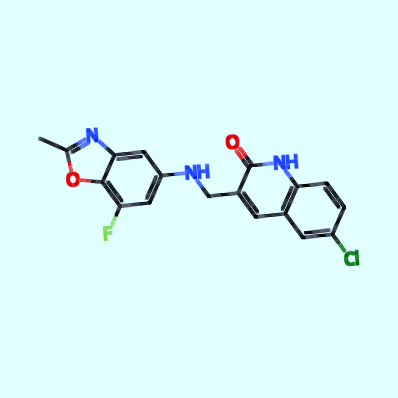 Cc1nc2cc(NCc3cc4cc(Cl)ccc4[nH]c3=O)cc(F)c2o1